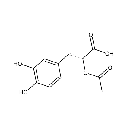 CC(=O)O[C@H](Cc1ccc(O)c(O)c1)C(=O)O